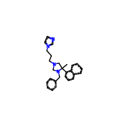 CC1(c2cccc3ccccc23)CN(CCCn2ccnc2)CN1Cc1ccccc1